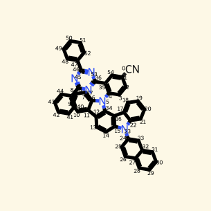 N#Cc1ccc(-n2c3ccccc3c3ccc4c(c5ccccc5n4-c4ccc5ccccc5c4)c32)c(-c2nc(-c3ccccc3)nc(-c3ccccc3)n2)c1